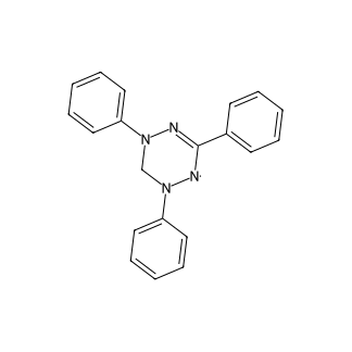 c1ccc(C2=NN(c3ccccc3)CN(c3ccccc3)[N]2)cc1